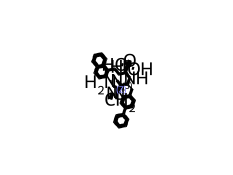 C=N/N=C(\NN)[C@H](Cc1ccc(-c2ccccc2)cc1)NC(CCc1cccc2ccccc12)P(=O)(O)O